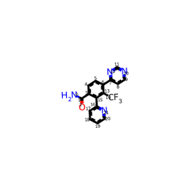 NC(=O)c1ccc(-c2ccncn2)c(C(F)(F)F)c1-c1ccccn1